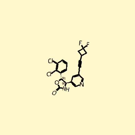 O=C1N[C@H](c2cncc(C#CC3CC(F)(F)C3)c2)[C@@H](c2cccc(Cl)c2Cl)O1